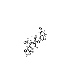 COc1ccc2nccc(C=C(C[C@@H]3CN(c4ccc5c(c4)OCCO5)C(=O)O3)C(N)=O)c2n1